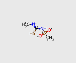 C/N=C(\S)NS(C)(=O)=O